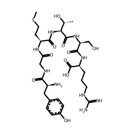 CSCC[C@H](NC(=O)CNC(=O)[C@@H](N)Cc1ccc(O)cc1)C(=O)N[C@H](C(=O)N[C@@H](CO)C(=O)N[C@@H](CCCNC(=N)N)C(=O)O)[C@@H](C)O